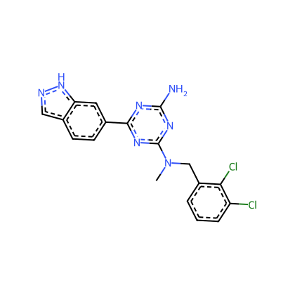 CN(Cc1cccc(Cl)c1Cl)c1nc(N)nc(-c2ccc3cn[nH]c3c2)n1